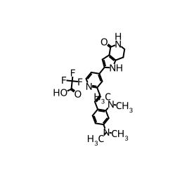 CN(C)c1ccc(/C=C/c2cc(-c3cc4c([nH]3)CCNC4=O)ccn2)c(N(C)C)c1.O=C(O)C(F)(F)F